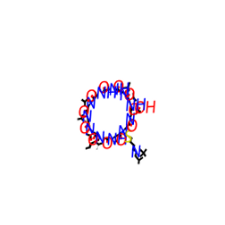 C/C=C/C[C@@H](C)C[C@H]1C(=O)N[C@@H](CC)C(=O)N(C)[C@H](CSCCCCN(CC(C)C)CC(C)(C)C)C(=O)N(C)[C@@H](CC(C)(C)O)C(=O)N[C@@H](C(C)C)C(=O)N(C)[C@@H](CC(C)C)C(=O)N[C@@H](C)C(=O)N[C@H](C)C(=O)N(C)[C@@H](CC(C)C)C(=O)N(C)[C@@H](CC(C)C)C(=O)N(C)[C@@H](C(C)C)C(=O)N1C